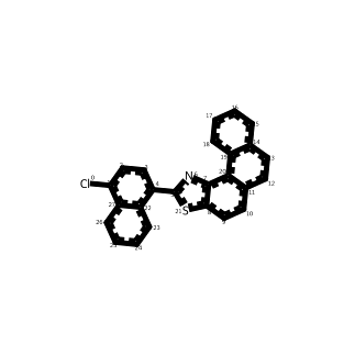 Clc1ccc(-c2nc3c(ccc4ccc5ccccc5c43)s2)c2ccccc12